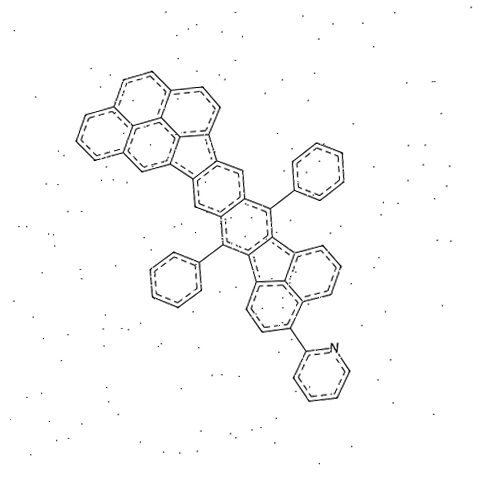 c1ccc(-c2c3cc4c(cc3c(-c3ccccc3)c3c5ccc(-c6ccccn6)c6cccc(c23)c65)c2cc3cccc5ccc6ccc4c2c6c53)cc1